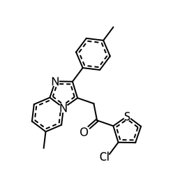 Cc1ccc(-c2nc3ccc(C)cn3c2CC(=O)c2sccc2Cl)cc1